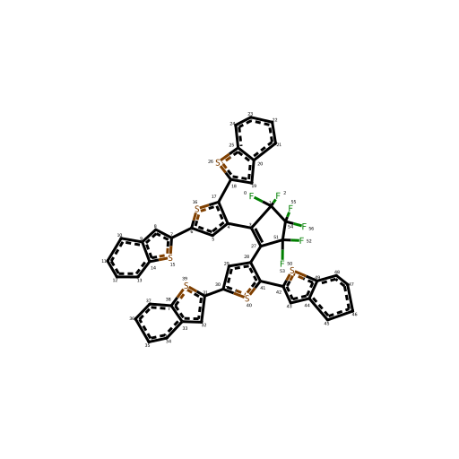 FC1(F)C(c2cc(-c3cc4ccccc4s3)sc2-c2cc3ccccc3s2)=C(c2cc(-c3cc4ccccc4s3)sc2-c2cc3ccccc3s2)C(F)(F)C1(F)F